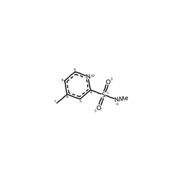 CNS(=O)(=O)c1cc(C)ccn1